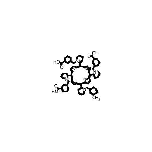 Cc1cccc(C[n+]2ccccc2-c2c3nc(c(-c4cccc[n+]4Cc4cccc(C(=O)O)c4)c4ccc([nH]4)c(-c4cccc[n+]4Cc4cccc(C(=O)O)c4)c4nc(c(-c5cccc[n+]5Cc5cccc(C(=O)O)c5)c5ccc2[nH]5)C=C4)C=C3)c1